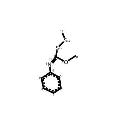 CO/C(=N\c1ccccc1)SSC